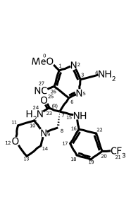 COc1nc(N)nc([C@@](CN2CCOCC2)(Nc2cccc(C(F)(F)F)c2)C(N)=O)c1C#N